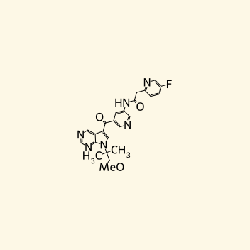 COCC(C)(C)n1cc(C(=O)c2cncc(NC(=O)Cc3ccc(F)cn3)c2)c2cncnc21